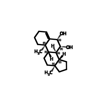 C[C@@]12CCC[C@H]1[C@@H]1[C@@H](O)[C@@H](O)C3=CCCC[C@]3(C)[C@H]1CC2